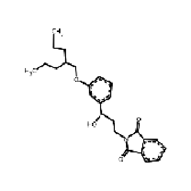 CCCC(CCC)COc1cccc([C@H](O)CCN2C(=O)c3ccccc3C2=O)c1